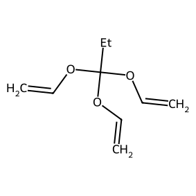 C=COC(CC)(OC=C)OC=C